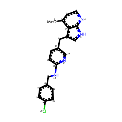 COc1ccnc2[nH]cc(Cc3ccc(NCc4ccc(Cl)cc4)nc3)c12